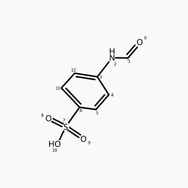 O=[C]Nc1ccc(S(=O)(=O)O)cc1